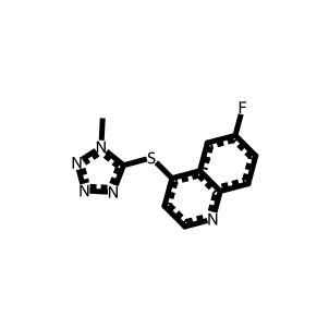 Cn1nnnc1Sc1ccnc2ccc(F)cc12